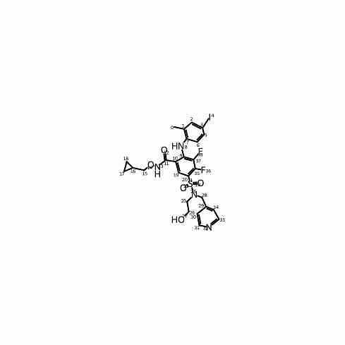 Cc1cc(I)ccc1Nc1c(C(=O)NOCC2CC2)cc(S(=O)(=O)N(CCO)Cc2ccncc2)c(F)c1F